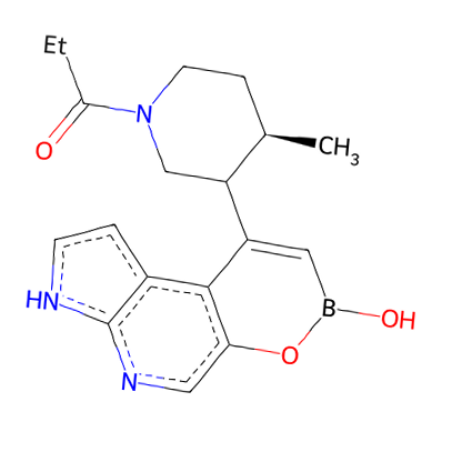 CCC(=O)N1CC[C@@H](C)C(C2=CB(O)Oc3cnc4[nH]ccc4c32)C1